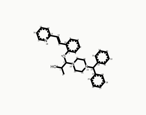 CC(O)C(Oc1ccccc1C=Cc1ccccn1)N1CCN(C(c2ccccc2)c2ccccc2)CC1